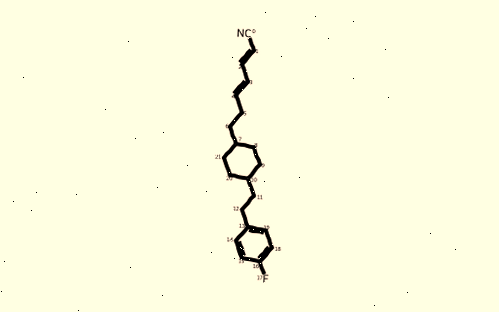 N#CC=CC=CCCC1CCC(CCc2ccc(F)cc2)CC1